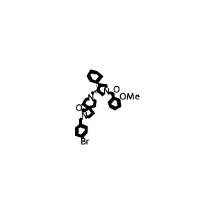 COc1ccccc1C(=O)N1C[C@H](CN2CCC3(CC2)CCN(Cc2ccc(Br)cc2)C3=O)[C@@H](c2ccccc2)C1